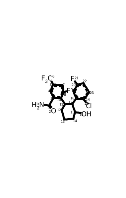 NC(=O)c1cc(C(F)(F)F)cc(F)c1C1CCCC(O)C1c1cc(F)ccc1Cl